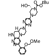 COCOc1ccccc1-c1cc2c(nn1)NC[C@H]1CN(c3ncc(N4CCN(C(=O)OC(C)(C)C)[C@@H](CO)C4)cn3)CCN21